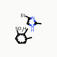 CCc1c[nH]c(C)n1.Cc1cccc(S(=O)(=O)O)c1C